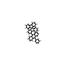 c1ccc(-c2c3ccccc3c(-c3cccc4c3-c3ncccc3C43c4ccccc4-c4ccccc43)c3ccccc23)cc1